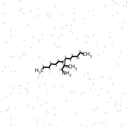 CCCCCCN(CCCCCC)C(C)CN